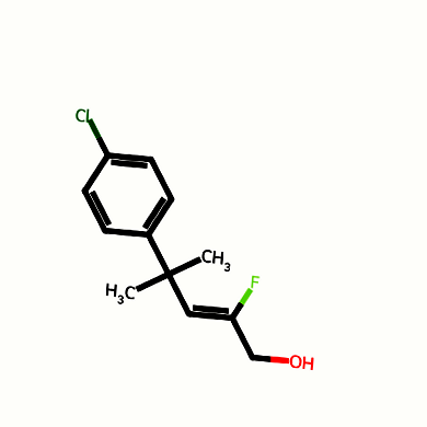 CC(C)(/C=C(\F)CO)c1ccc(Cl)cc1